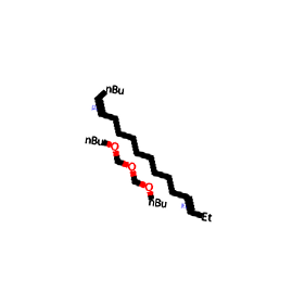 CC/C=C/CCCCCCCC/C=C\CCCC.CCCCOCOCOCCCC